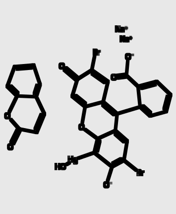 O=C([O-])c1ccccc1-c1c2cc(Br)c(=O)cc-2oc2[c]([Hg][OH])c([O-])c(Br)cc12.O=c1ccc2ccccc2o1.[Na+].[Na+]